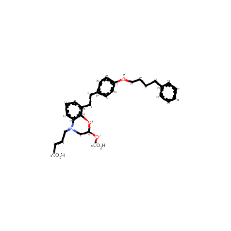 O=C(O)CCCN1CC(OC(=O)O)Oc2c(CCc3ccc(OCCCCc4ccccc4)cc3)cccc21